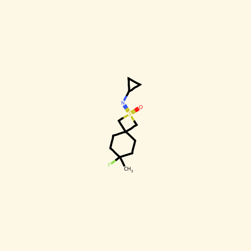 CC1(F)CCC2(CC1)CS(=O)(=NC1CC1)C2